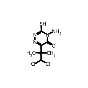 CC(C)(c1nnc(S)n(N)c1=O)C(Cl)Cl